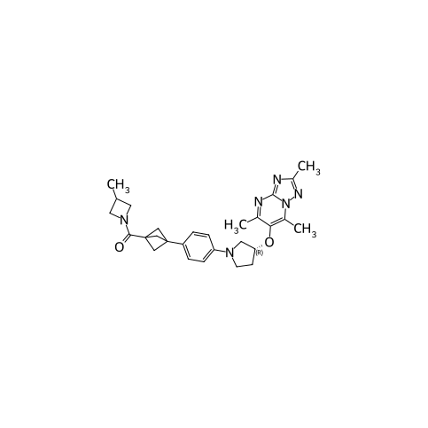 Cc1nc2nc(C)c(O[C@@H]3CCN(c4ccc(C56CC(C(=O)N7CC(C)C7)(C5)C6)cc4)C3)c(C)n2n1